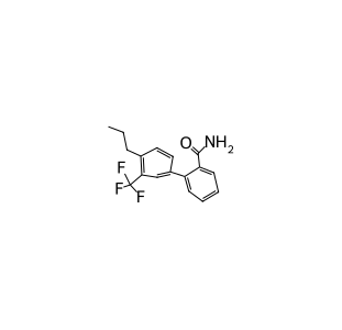 CCCc1ccc(-c2ccccc2C(N)=O)cc1C(F)(F)F